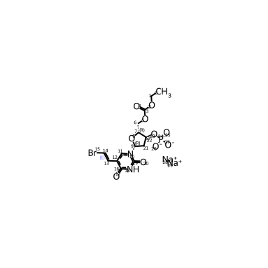 CCOC(=O)OC[C@H]1O[C@@H](n2cc(/C=C/Br)c(=O)[nH]c2=O)C[C@@H]1OP(=O)([O-])[O-].[Na+].[Na+]